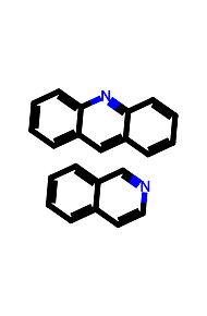 c1ccc2cnccc2c1.c1ccc2nc3ccccc3cc2c1